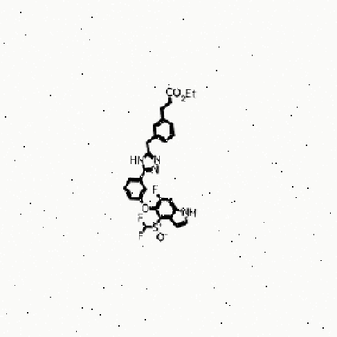 CCOC(=O)CCc1cccc(Cc2nnc(-c3cccc(Oc4c(F)cc5[nH]ccc5c4[S+]([O-])C(F)F)c3)[nH]2)c1